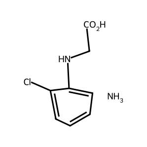 N.O=C(O)CNc1ccccc1Cl